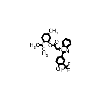 CC(C)[C@@H]1CC[C@@H](C)C[C@H]1OC(=O)Cn1c(-c2ccc(Cl)c(C(F)(F)F)c2)nc2ccccc21